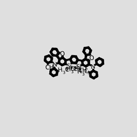 Cc1ccccc1N(c1ccccc1)c1cc2c(c3c1oc1ccccc13)-c1ccc3c(c1[Si]2(C)C)[Si](C)(C)c1cc(N(c2ccccc2)c2ccccc2C)c2c(oc4ccccc42)c1-3